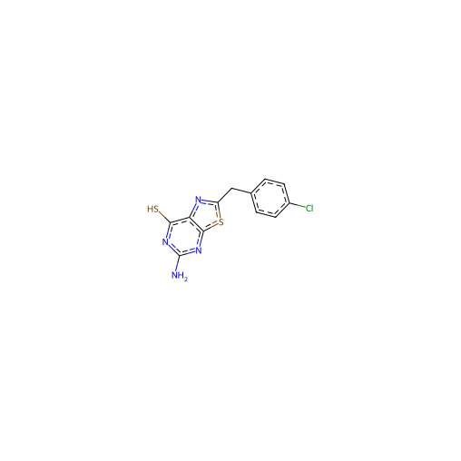 Nc1nc(S)c2nc(Cc3ccc(Cl)cc3)sc2n1